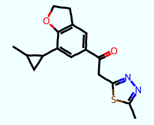 Cc1nnc(CC(=O)c2cc3c(c(C4CC4C)c2)OCC3)s1